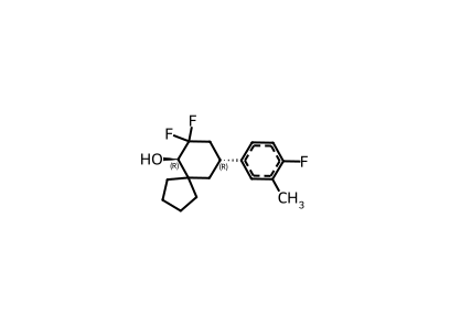 Cc1cc([C@H]2CC(F)(F)[C@H](O)C3(CCCC3)C2)ccc1F